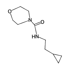 O=C(NCCC1CC1)N1CCOCC1